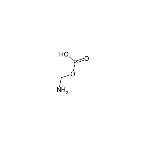 NCO[P](=O)O